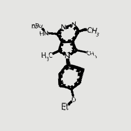 CCCCNc1nnc(C)c2c(C)n(-c3ccc(OCC)cc3)c(C)c12